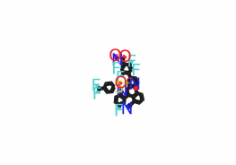 N#Cc1cccc(C#N)c1-c1c(-c2cccc(-c3c(F)c(F)c(C(=O)N=O)c(F)c3F)c2)n([S+]([O-])c2ccc(C(F)F)cc2)c2ccc(F)cc12